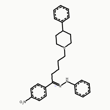 O=[N+]([O-])c1ccc(/C(CCCCN2CCC(c3c[c]ccc3)CC2)=N/Nc2ccccc2)cc1